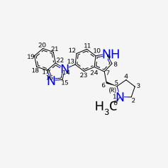 CN1CCC[C@@H]1Cc1c[nH]c2ccc(-n3cnc4ccccc43)cc12